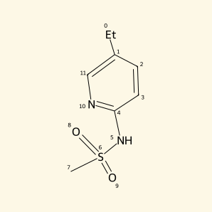 CCc1ccc(NS(C)(=O)=O)nc1